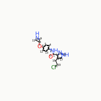 O=C(Nc1ccc(OC2CNC2)cc1)c1n[nH]cc1CCCl